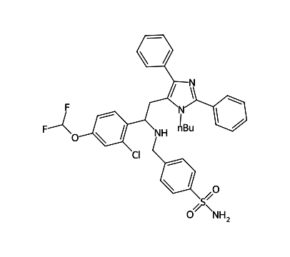 CCCCn1c(-c2ccccc2)nc(-c2ccccc2)c1CC(NCc1ccc(S(N)(=O)=O)cc1)c1ccc(OC(F)F)cc1Cl